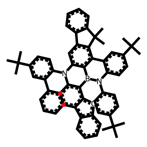 CC(C)(C)c1ccc(N2B3c4c(cc5c(c4-c4cc(C(C)(C)C)ccc42)C(C)(C)c2ccccc2-5)N(c2ccc(C(C)(C)C)cc2-c2ccccc2)c2ccc4c(oc5ccccc54)c23)cc1